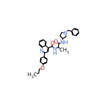 CCCOc1ccc(-c2cc(C(=O)NC(C)C(=O)NC3CCN(Cc4ccccc4)C3)c3ccccc3n2)cc1